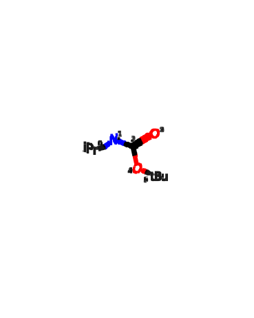 CC(C)[N]C(=O)OC(C)(C)C